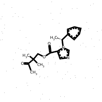 CC(=O)C(C)(C)COC(=O)c1cncn1[C@H](C)c1ccccc1